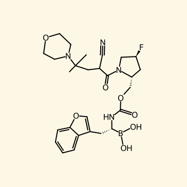 CC(C)(CC(C#N)C(=O)N1C[C@@H](F)C[C@@H]1COC(=O)N[C@@H](Cc1coc2ccccc12)B(O)O)N1CCOCC1